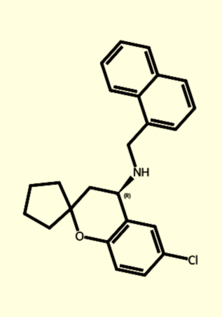 Clc1ccc2c(c1)[C@H](NCc1cccc3ccccc13)CC1(CCCC1)O2